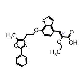 CCO/C(=C\c1ccc(OCCc2nc(-c3ccccc3)oc2C)c2sccc12)C(=O)O